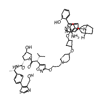 CC(C)[C@@H](C(=O)N1C[C@H](O)C[C@H]1C(=O)N[C@@H](C)c1ccc(-c2scnc2CO)cc1)c1cc(OCCN2CCC(OC3CC(Oc4cc(N5C6CC[C@@H]5CN(c5cc(-c7ccccc7O)nnc5N)C6)ccn4)C3)CC2)no1